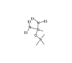 CCN(CC)[Si](C)(O[Si](C)(C)C)N(CC)CC